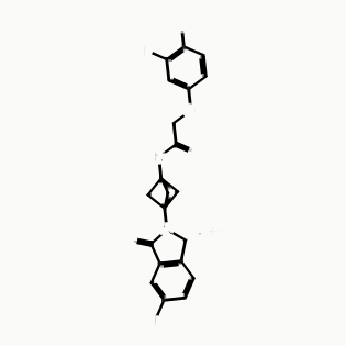 O=C(COc1ccc(Cl)c(F)c1)NC12CC(N3C(=O)c4cc(Cl)ccc4[C@H]3O)(C1)C2